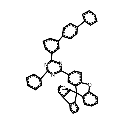 c1ccc(-c2ccc(-c3cccc(-c4nc(-c5ccccc5)nc(-c5ccc6c(c5)C5(c7ccccc7O6)c6ccccc6-c6ccccc65)n4)c3)cc2)cc1